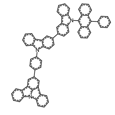 c1ccc(-c2c3ccccc3c(-n3c4ccccc4c4cc(-c5ccc6c(c5)c5ccccc5n6-c5ccc(-c6cc7c8ccccc8n8c9ccccc9c(c6)c78)cc5)ccc43)c3ccccc23)cc1